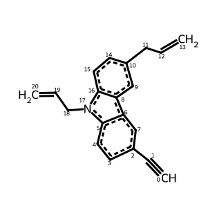 C#Cc1ccc2c(c1)c1cc(CC=C)ccc1n2CC=C